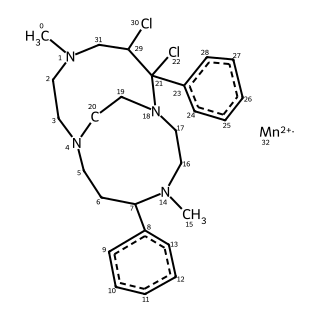 CN1CCN2CCC(c3ccccc3)N(C)CCN(CC2)C(Cl)(c2ccccc2)C(Cl)C1.[Mn+2]